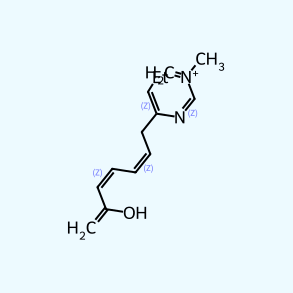 C=C(O)/C=C\C=C/CC(=C/CC)/N=C\[N+](=C)C